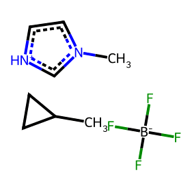 CC1CC1.Cn1cc[nH+]c1.F[B-](F)(F)F